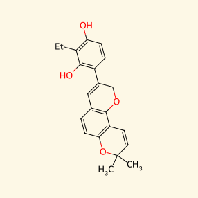 CCc1c(O)ccc(C2=Cc3ccc4c(c3OC2)C=CC(C)(C)O4)c1O